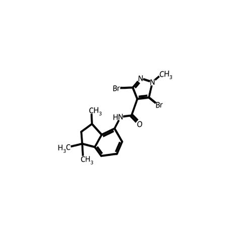 CC1CC(C)(C)c2cccc(NC(=O)c3c(Br)nn(C)c3Br)c21